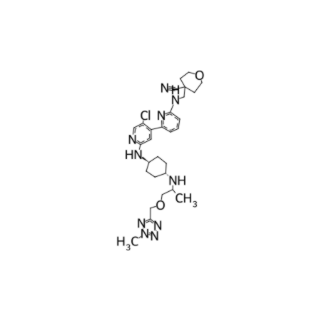 CC(COCc1nnn(C)n1)N[C@H]1CC[C@H](Nc2cc(-c3cccc(NCC4(C#N)CCOCC4)n3)c(Cl)cn2)CC1